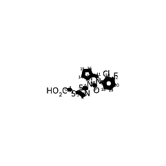 O=C(O)CSc1cnc(NC(=O)N(CC2CCCC2)c2cccc(F)c2Cl)s1